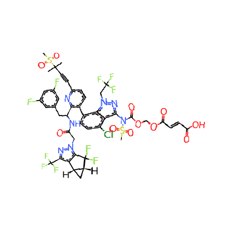 CC(C)(C#Cc1ccc(-c2ccc(Cl)c3c(N(C(=O)OCOC(=O)/C=C/C(=O)O)S(C)(=O)=O)nn(CC(F)(F)F)c23)c(C(Cc2cc(F)cc(F)c2)NC(=O)Cn2nc(C(F)(F)F)c3c2C(F)(F)[C@@H]2C[C@H]32)n1)S(C)(=O)=O